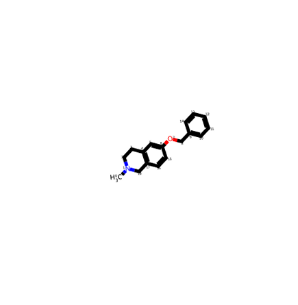 CN1CCc2cc(OCc3ccccc3)ccc2C1